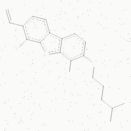 C=Cc1ccc2c(oc3c(F)c(OCCCC(C)C)ccc32)c1F